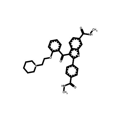 CNC(=O)c1ccc(-c2sc3cc(C(=O)NC)ccc3c2C(=O)c2ccccc2OCCN2CCCCC2)cc1